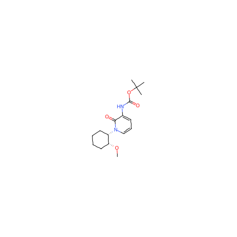 CO[C@@H]1CCCC[C@@H]1n1cccc(NC(=O)OC(C)(C)C)c1=O